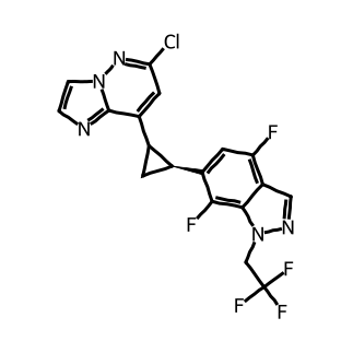 Fc1cc([C@H]2CC2c2cc(Cl)nn3ccnc23)c(F)c2c1cnn2CC(F)(F)F